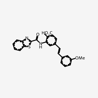 COc1cccc(C=Cc2ccc(C(=O)O)c(NC(=O)c3nc4ccccc4s3)c2)c1